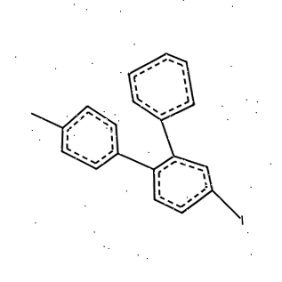 Cc1ccc(-c2ccc(I)cc2-c2ccccc2)cc1